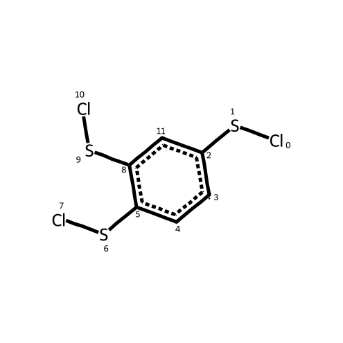 ClSc1[c]cc(SCl)c(SCl)c1